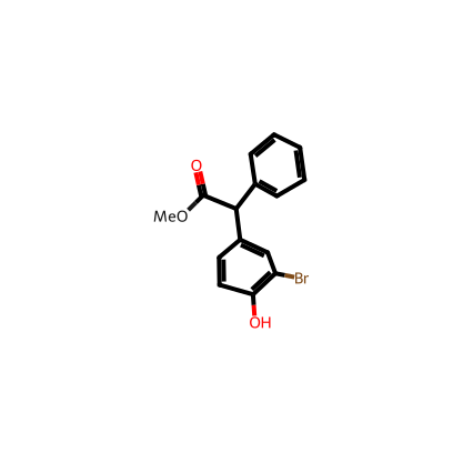 COC(=O)C(c1ccccc1)c1ccc(O)c(Br)c1